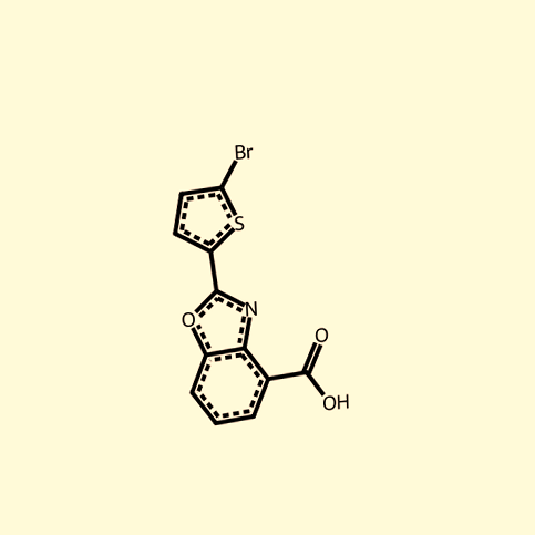 O=C(O)c1cccc2oc(-c3ccc(Br)s3)nc12